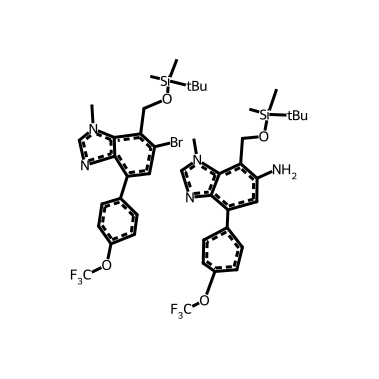 Cn1cnc2c(-c3ccc(OC(F)(F)F)cc3)cc(Br)c(CO[Si](C)(C)C(C)(C)C)c21.Cn1cnc2c(-c3ccc(OC(F)(F)F)cc3)cc(N)c(CO[Si](C)(C)C(C)(C)C)c21